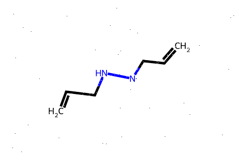 C=CC[N]NCC=C